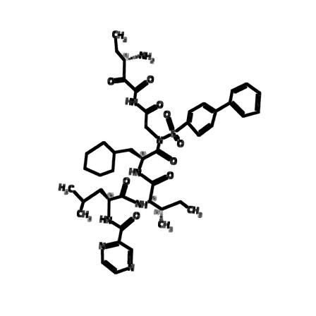 CC[C@H](N)C(=O)C(=O)NC(=O)CN(C(=O)[C@H](CC1CCCCC1)NC(=O)[C@@H](NC(=O)[C@H](CC(C)C)NC(=O)c1cnccn1)[C@@H](C)CC)S(=O)(=O)c1ccc(-c2ccccc2)cc1